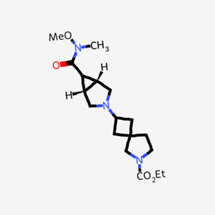 CCOC(=O)N1CCC2(CC(N3C[C@@H]4C(C(=O)N(C)OC)[C@@H]4C3)C2)C1